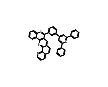 c1ccc(-c2cc(-c3cccc(-c4nc5ccccc5c5nc6c(ccc7cccnc76)cc45)c3)cc(-c3ccccc3)n2)cc1